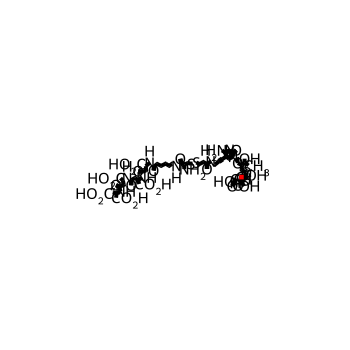 CC(O)C(COP(=O)(O)OP(=O)(O)OP(=O)(O)O)OCn1cc(C#CCNC(=O)CCSSCC(N)C(=O)NCCCCCC(=O)NC(CC(=O)NC(CC(=O)NC(CC(=O)NC(CC(=O)O)C(=O)O)C(=O)O)C(=O)O)C(=O)O)c(N)nc1=O